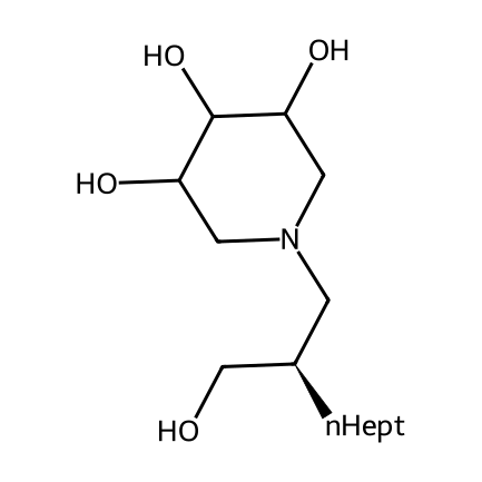 CCCCCCC[C@@H](CO)CN1CC(O)C(O)C(O)C1